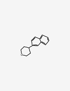 c1ccc2cc(C3CCOCC3)ccc2c1